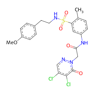 COc1ccc(CCNS(=O)(=O)c2cc(NC(=O)Cn3ncc(Cl)c(Cl)c3=O)ccc2C)cc1